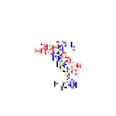 Cn1nnnc1SCC1=C(C(=O)O)N2C(=O)C(NC(=O)C(=NOCP(=O)(O)O)c3csc(N)n3)[C@@H]2SC1